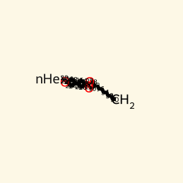 C=CCCCCCCC[C@H]1CO[C@H](c2ccc(-c3ccc(OCCCCCC)cc3)cc2)OC1